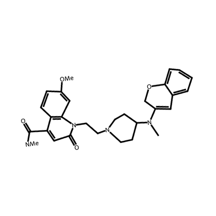 CNC(=O)c1cc(=O)n(CCN2CCC(N(C)C3=Cc4ccccc4OC3)CC2)c2cc(OC)ccc12